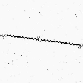 CCCCCCCCC=CCCCCCCCCCCCC(=O)OCCCCCCCCCCCCCCCCCCCCCCCCCC(=O)O